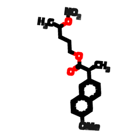 COc1ccc2cc([C@H](C)C(=O)OCCCC(C)O[N+](=O)[O-])ccc2c1